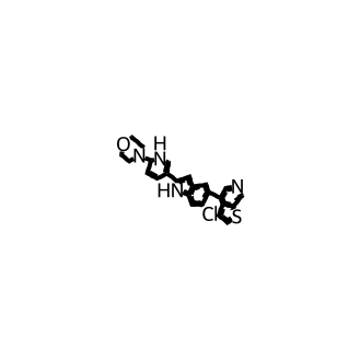 Clc1cc2[nH]c(C3=CNC(N4CCOCC4)C=C3)cc2cc1-c1cncc2sccc12